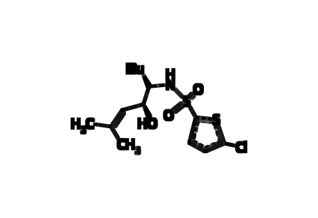 CC[C@H](C)C(NS(=O)(=O)c1ccc(Cl)s1)[C@@H](O)C=C(C)C